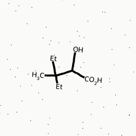 CCC(C)(CC)C(O)C(=O)O